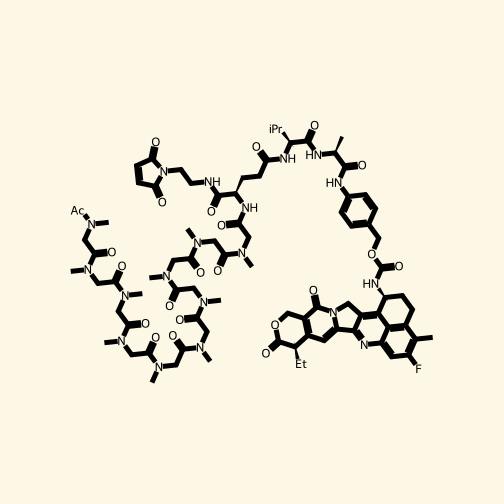 CC[C@H]1C(=O)OCc2c1cc1n(c2=O)Cc2c-1nc1cc(F)c(C)c3c1c2[C@@H](NC(=O)OCc1ccc(NC(=O)[C@H](C)NC(=O)[C@@H](NC(=O)CC[C@@H](NC(=O)CN(C)C(=O)CN(C)C(=O)CN(C)C(=O)CN(C)C(=O)CN(C)C(=O)CN(C)C(=O)CN(C)C(=O)CN(C)C(=O)CN(C)C(=O)CN(C)C(C)=O)C(=O)NCCN2C(=O)C=CC2=O)C(C)C)cc1)CC3